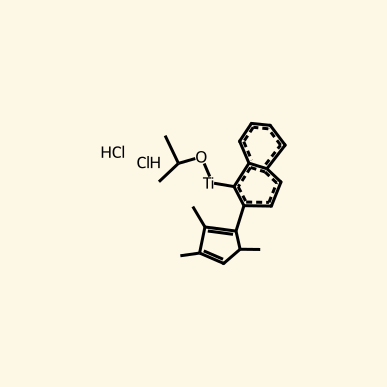 CC1=CC(C)C(c2ccc3ccccc3[c]2[Ti][O]C(C)C)=C1C.Cl.Cl